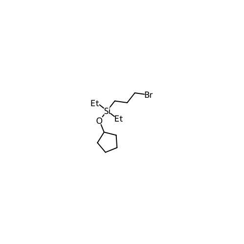 CC[Si](CC)(CCCBr)OC1CCCC1